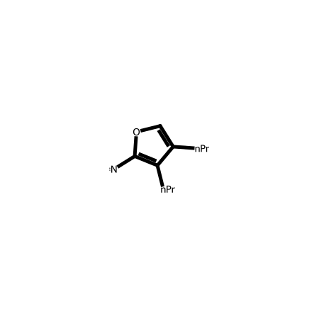 CCCc1coc([N])c1CCC